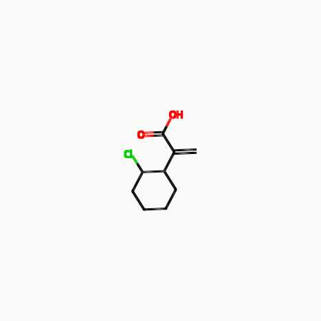 C=C(C(=O)O)C1CCCCC1Cl